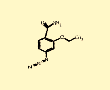 CCOc1cc(N=[N+]=[N-])ccc1C(N)=O